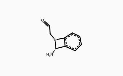 N[C@H]1c2ccccc2N1CC=O